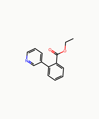 CCOC(=O)c1ccccc1-c1cccnc1